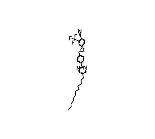 CCCCCCCCCCCCc1cnc(-c2ccc(COc3ccc(C#N)c(C(F)(F)F)c3)cc2)nc1